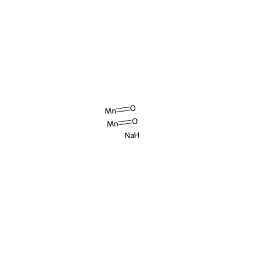 [NaH].[O]=[Mn].[O]=[Mn]